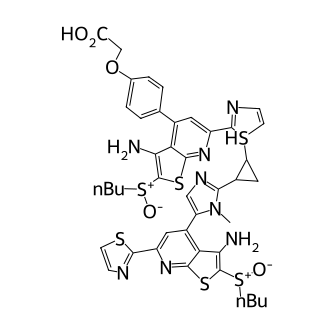 CCCC[S+]([O-])c1sc2nc(C3=NC=C[SH]3C3CC3c3ncc(-c4cc(-c5nccs5)nc5sc([S+]([O-])CCCC)c(N)c45)n3C)cc(-c3ccc(OCC(=O)O)cc3)c2c1N